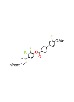 CCCCCC1CCC(c2ccc(OC(=O)C3CCC(c4ccc(OC)c(F)c4)CC3)c(F)c2F)CC1